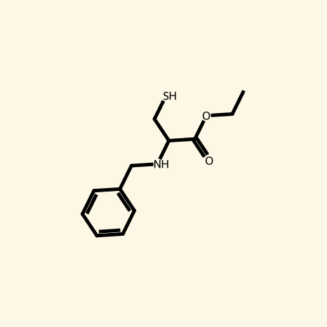 CCOC(=O)C(CS)NCc1ccccc1